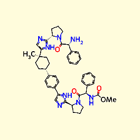 COC(=O)N[C@@H](C(=O)N1CCC[C@H]1c1ncc(-c2ccc([C@H]3CC[C@](C)(c4cnc([C@@H]5CCCN5C(=O)[C@H](N)c5ccccc5)[nH]4)CC3)cc2)[nH]1)c1ccccc1